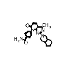 Cc1nc(N2CCC3CCCCC3C2)nc2c1ccc(=O)n2-c1ccc(C(N)=O)cc1